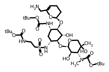 CN(C(=O)OC(C)(C)C)[C@@H]1[C@@H](O)[C@@H](O[C@@H]2[C@@H](O)[C@H](O[C@@H]3CCC=C(CN)O3)[C@@H](NC(=O)OC(C)(C)C)C[C@H]2NS(=O)(=O)CCNC(=O)OC(C)(C)C)OC[C@]1(C)O